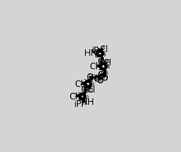 CC(C)Nc1cc(Cl)cc(COc2c(Cl)cc(CC(=O)OC(=O)CNC(=O)c3cc(Cl)c(OCc4cc(Cl)cc(NC(C)C)c4)c(Cl)c3)cc2Cl)c1